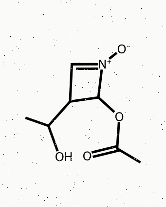 CC(=O)OC1C(C(C)O)C=[N+]1[O-]